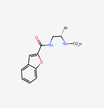 CC(C)[C@@H](CNC(=O)c1cc2ccccc2o1)NC(=O)O